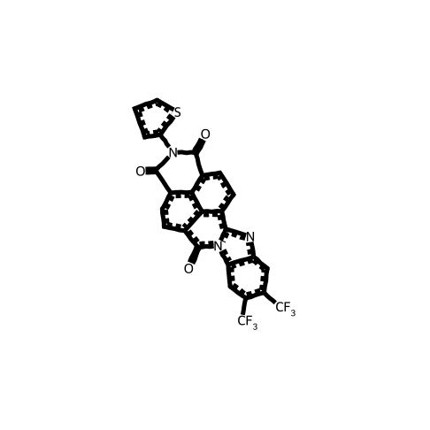 O=C1c2ccc3c(=O)n4c5cc(C(F)(F)F)c(C(F)(F)F)cc5nc4c4ccc(c2c34)C(=O)N1c1cccs1